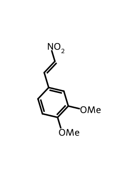 COc1ccc(C=C[N+](=O)[O-])cc1OC